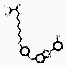 C=C(C)C(=C)CCCCCCCOc1ccc(Sc2ccc3nn(-c4cccc(S)c4)nc3c2)cc1